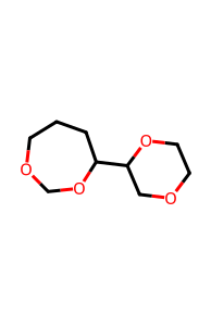 C1COCOC(C2COCCO2)C1